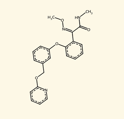 CNC(=O)C(=NOC)c1ccccc1Oc1cccc(COc2ccccn2)c1